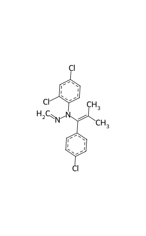 C=NN(C(=C(C)C)c1ccc(Cl)cc1)c1ccc(Cl)cc1Cl